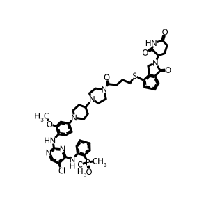 COc1cc(N2CCC(N3CCN(C(=O)CCCSc4cccc5c4CN(C4CCC(=O)NC4=O)C5=O)CC3)CC2)ccc1Nc1ncc(Cl)c(Nc2ccccc2P(C)(C)=O)n1